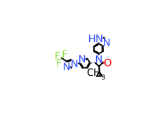 Cc1cc(-n2cnc(C(F)(F)F)c2)ncc1[C@H]1C(C2CC2)C(=O)N1c1ccc2[nH]cnc2c1